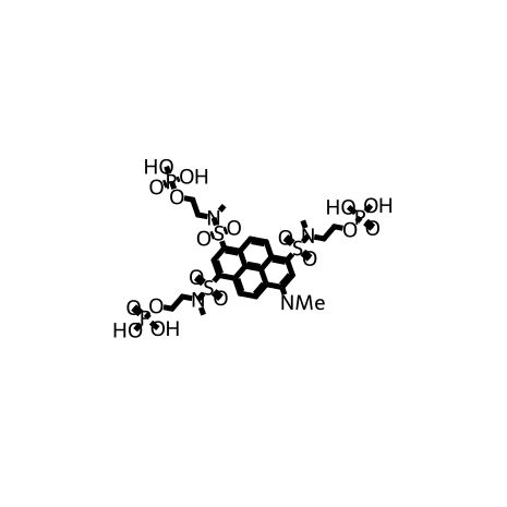 CNc1cc(S(=O)(=O)N(C)CCOP(=O)(O)O)c2ccc3c(S(=O)(=O)N(C)CCOP(=O)(O)O)cc(S(=O)(=O)N(C)CCOP(=O)(O)O)c4ccc1c2c43